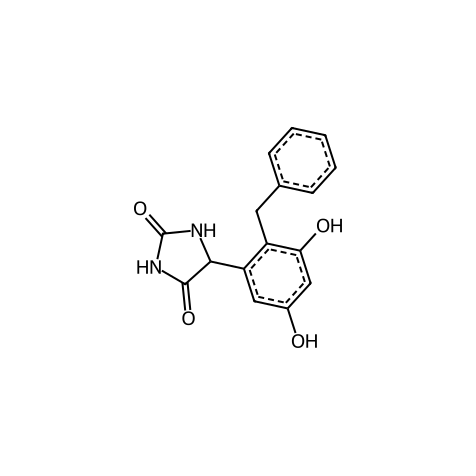 O=C1NC(=O)C(c2cc(O)cc(O)c2Cc2ccccc2)N1